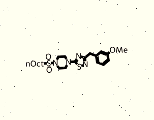 CCCCCCCCS(=O)(=O)N1CCN(c2nc(Cc3cccc(OC)c3)ns2)CC1